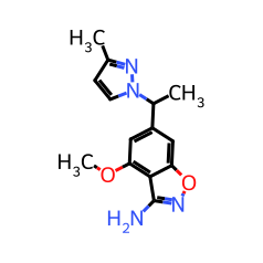 COc1cc(C(C)n2ccc(C)n2)cc2onc(N)c12